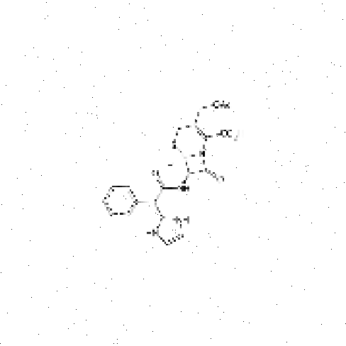 CC(=O)OCC1=C(C(=O)O)N2C(=O)[C@@H](NC(=O)C(c3ccccc3)C3NC=CN3)[C@H]2SC1